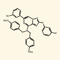 COc1ccc(CN(Cc2ccc(OC)cc2)c2nc(-c3cccc(C#N)c3)cn3nc(Oc4cccc(F)c4)nc23)cc1